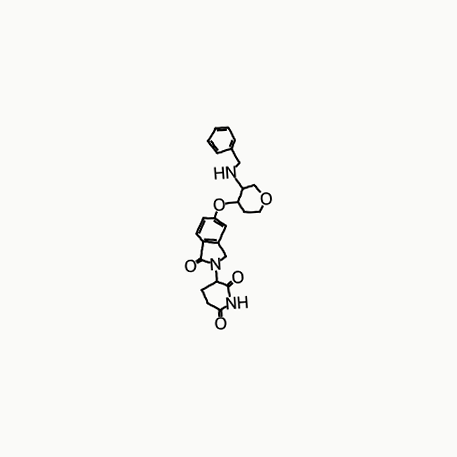 O=C1CCC(N2Cc3cc(OC4CCOCC4NCc4ccccc4)ccc3C2=O)C(=O)N1